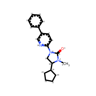 CN1C(=O)N(c2ccc(-c3ccccc3)cn2)CC1C1CCCC1